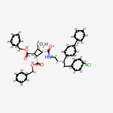 O=C(O)[C@H]1[C@H](C(=O)NCC[C@@H](Cc2ccc(Cl)cc2)c2ccc(-c3ccccc3)cc2)[C@H](C(=O)OCc2ccccc2)[C@H]1C(=O)OCc1ccccc1